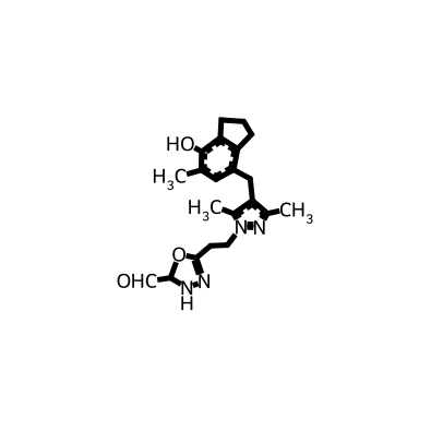 Cc1cc(Cc2c(C)nn(CCC3=NNC(C=O)O3)c2C)c2c(c1O)CCC2